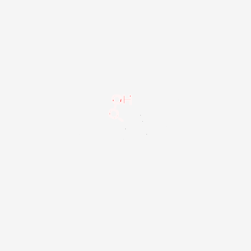 CC(c1ccccc1)C(C)C(OO)C(C)(C)C1CCCCC1